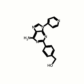 Nc1nc(-c2c[c]c(CO)cc2)nc2c1ncn2-c1ccncc1